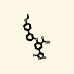 CCOc1ccc(-c2cccc(Oc3ccc(-c4c[nH]nc4F)cc3C(=O)O)c2)cc1